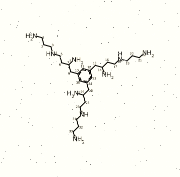 NCCCNCCC(N)Cc1cc(CC(N)CCNCCCN)cc(CC(N)CCNCCCN)c1